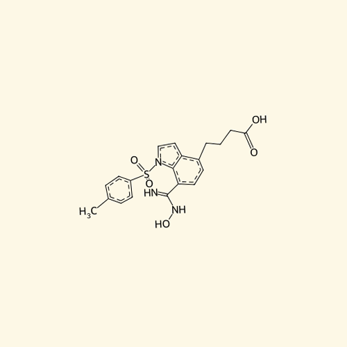 Cc1ccc(S(=O)(=O)n2ccc3c(CCCC(=O)O)ccc(C(=N)NO)c32)cc1